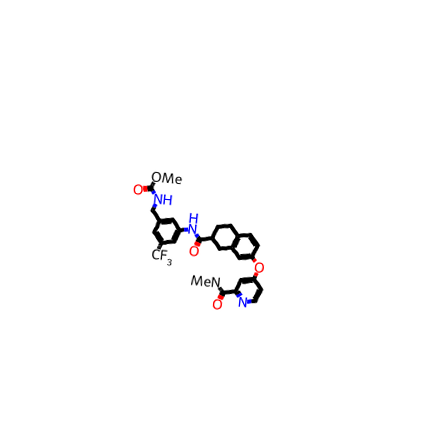 CNC(=O)c1cc(Oc2ccc3c(c2)CC(C(=O)Nc2cc(CNC(=O)OC)cc(C(F)(F)F)c2)CC3)ccn1